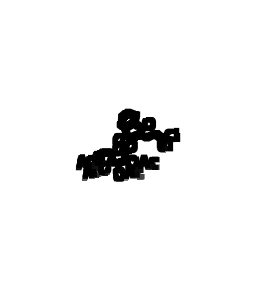 CC(=O)OCC1OC(OC2=C(CC=C(Cl)Cl)C(=O)c3ccccc3C2=O)C(OC(C)=O)C(OC(C)=O)C1OC(C)=O